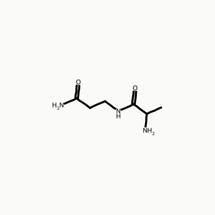 CC(N)C(=O)NCCC(N)=O